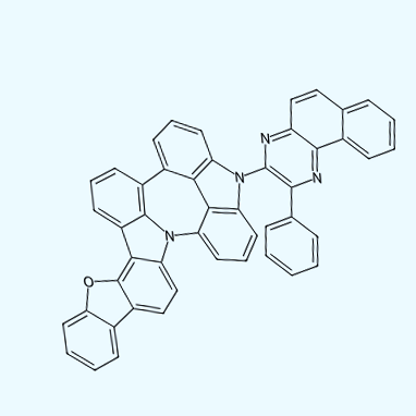 c1ccc(-c2nc3c(ccc4ccccc43)nc2-n2c3cccc4c5cccc6c7c8oc9ccccc9c8ccc7n(c7cccc2c7c43)c56)cc1